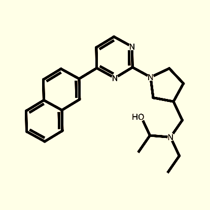 CCN(CC1CCN(c2nccc(-c3ccc4ccccc4c3)n2)C1)C(C)O